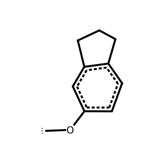 [C]Oc1ccc2c(c1)CCC2